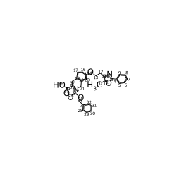 Cc1oc(-c2ccccc2)nc1CCOc1ccc2c(c1)CN(C(=O)OCc1ccccc1)C(C(=O)O)C2